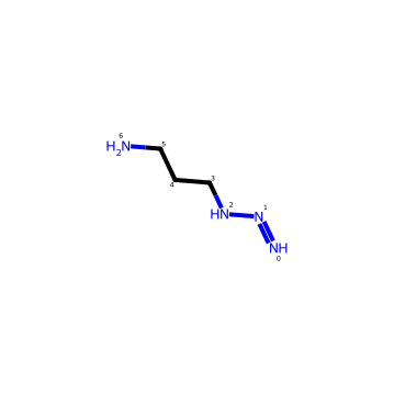 N=NNCCCN